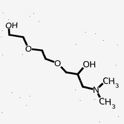 CN(C)CC(O)COCCOCCO